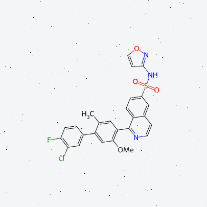 COc1cc(-c2ccc(F)c(Cl)c2)c(C)cc1-c1nccc2cc(S(=O)(=O)Nc3ccon3)ccc12